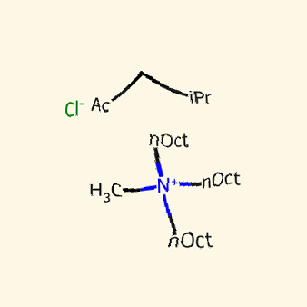 CC(=O)CC(C)C.CCCCCCCC[N+](C)(CCCCCCCC)CCCCCCCC.[Cl-]